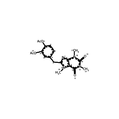 CC(=O)Oc1ccc(Cc2nc3c(c(=O)n(C)c(=O)n3C)n2C)cc1OC(C)=O